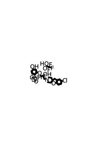 CS(=O)(=O)Nc1ccc(O)cc1OC[C@@H](O)CN1CCC2(CC1)Cc1cc(Cl)ccc1O2.O=C(O)C(F)(F)F